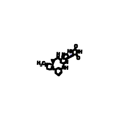 CN1CCN(c2cccc(Nc3cc(NC4CC4)n4ncc(/C=C5\NC(=O)NC5=O)c4n3)c2)CC1